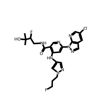 CC(C)(O)C(F)CNC(=O)c1cnc(-n2ncc3cc(Cl)cnc32)cc1Nc1cnn(CCCF)c1